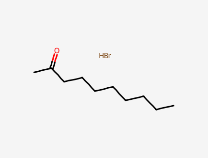 Br.CCCCCCCCC(C)=O